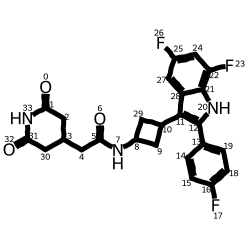 O=C1CC(CC(=O)NC2CC(c3c(-c4ccc(F)cc4)[nH]c4c(F)cc(F)cc34)C2)CC(=O)N1